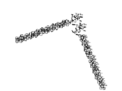 CCP(CC)C([CH2][Tc+5])OC([CH2][Tc+5])P(CC)CC.CCP(CC)C([CH2][Tc+5])OC([CH2][Tc+5])P(CC)CC.[O-][Cl+3]([O-])([O-])[O-].[O-][Cl+3]([O-])([O-])[O-].[O-][Cl+3]([O-])([O-])[O-].[O-][Cl+3]([O-])([O-])[O-].[O-][Cl+3]([O-])([O-])[O-].[O-][Cl+3]([O-])([O-])[O-].[O-][Cl+3]([O-])([O-])[O-].[O-][Cl+3]([O-])([O-])[O-].[O-][Cl+3]([O-])([O-])[O-].[O-][Cl+3]([O-])([O-])[O-].[O-][Cl+3]([O-])([O-])[O-].[O-][Cl+3]([O-])([O-])[O-].[O-][Cl+3]([O-])([O-])[O-].[O-][Cl+3]([O-])([O-])[O-].[O-][Cl+3]([O-])([O-])[O-].[O-][Cl+3]([O-])([O-])[O-].[O-][Cl+3]([O-])([O-])[O-].[O-][Cl+3]([O-])([O-])[O-].[O-][Cl+3]([O-])([O-])[O-].[O-][Cl+3]([O-])([O-])[O-]